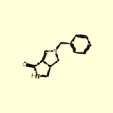 O=C1NCC2CN(Cc3ccccc3)C=C12